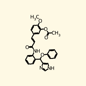 COc1ccc(/C=C/C(=O)Nc2ccccc2C(Oc2ccccc2)c2c[nH]cn2)cc1OC(C)=O